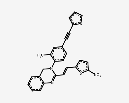 Cc1cc(C#Cc2cccs2)ccc1N1Cc2ccccc2N=C1/C=C/c1ccc([N+](=O)[O-])s1